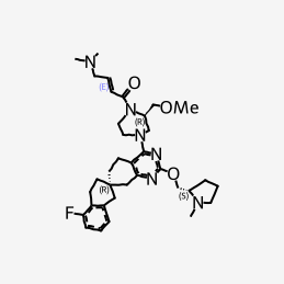 COC[C@H]1CN(c2nc(OC[C@@H]3CCCN3C)nc3c2CC[C@]2(CCc4c(F)cccc4C2)C3)CCN1C(=O)/C=C/CN(C)C